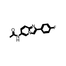 CC(=O)Nc1ccc2nc(-c3ccc(F)cc3)cn2c1